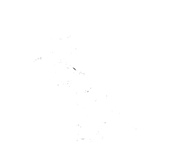 CCCCCC1=NN(C(=O)N[C@H]2C[C@H]3CC[C@]2(C)C3(C)C)CC1c1ccccc1